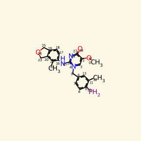 COc1cn(Cc2ccc(P)c(C)c2)c(Nc2ccc3c(c2C)COC3)nc1=O